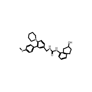 CSc1ccc(-c2cc(CNC(=O)Nc3cccc4c3CC(O)CC4)ccc2N2CCCCC2)cc1